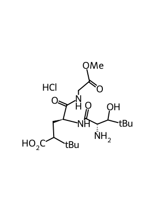 COC(=O)CNC(=O)[C@H](CC(C(=O)O)C(C)(C)C)NC(=O)[C@@H](N)C(O)C(C)(C)C.Cl